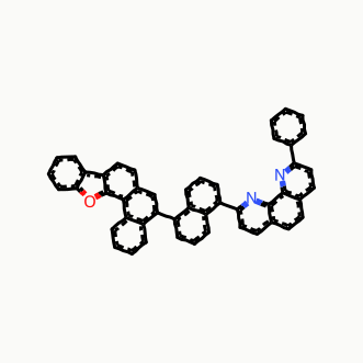 c1ccc(-c2ccc3ccc4ccc(-c5cccc6c(-c7cc8ccc9c%10ccccc%10oc9c8c8ccccc78)cccc56)nc4c3n2)cc1